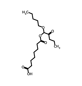 CCCCCOC(OC(=O)CCCCCCC(=O)O)C(=O)CCC